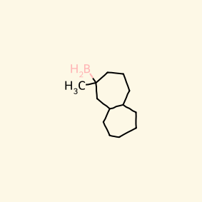 BC1(C)CCCC2CCCCCC2C1